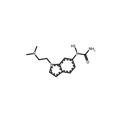 CN(C)CCn1ccc2ccc(N(S)C(N)=O)cc21